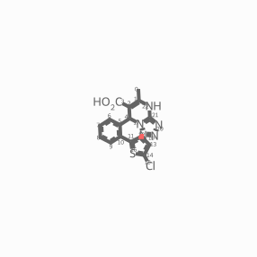 CC1=C(C(=O)O)C(c2ccccc2-c2ccc(Cl)s2)n2nnnc2N1